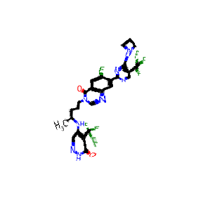 C[C@@H](CCCn1cnc2cc(-c3ncc(C(F)(F)F)c(N4CCC4)n3)c(F)cc2c1=O)Nc1cn[nH]c(=O)c1C(F)(F)F